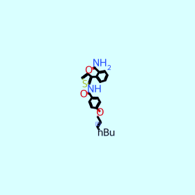 CCCC/C=C/COc1ccc(C(=O)Nc2sccc2-c2ccccc2C(N)=O)cc1